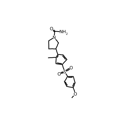 COc1ccc(S(=O)(=O)c2ccc(C3CCN(C(N)=O)C3)c(C)c2)cc1